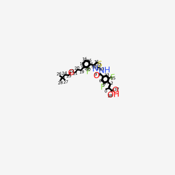 CC(=Cc1c(F)cc(C(=O)Nc2nc(-c3cccc(CCCOCCC(C)(C)C)c3F)cs2)cc1F)C(=O)O